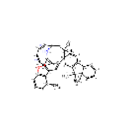 C[C@H]1CC=Cc2oc3c4c5c(cc3c21)C1(C=CC2=C(C1)C(C)(C)C1(C)C=CC=CC21)C(C)(C)CC(/C=C\C=C/C5)N4